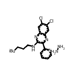 CCC(C)CCCNc1nc2cc(Cl)c(Cl)cc2nc1-c1ccccn1.NN